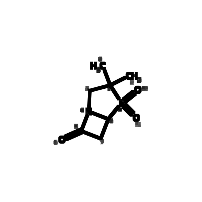 CC1(C)CN2C(=O)CC2S1(=O)=O